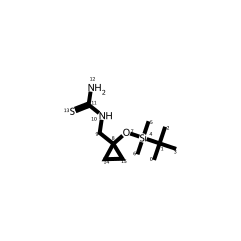 CC(C)(C)[Si](C)(C)OC1(CNC(N)=S)CC1